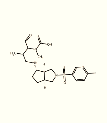 C[C@H](CN[C@H]1CC[C@@H]2CN(S(=O)(=O)c3ccc(F)cc3)C[C@@H]21)C(C=O)N(C)C(=O)O